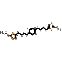 CSC1SC=C(CCCCc2ccc(CCCCC3=CSC(SC)S3)cc2)S1